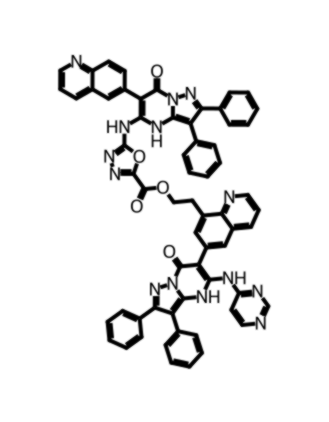 O=C(OCCc1cc(-c2c(Nc3ccncn3)[nH]c3c(-c4ccccc4)c(-c4ccccc4)nn3c2=O)cc2cccnc12)c1nnc(Nc2[nH]c3c(-c4ccccc4)c(-c4ccccc4)nn3c(=O)c2-c2ccc3ncccc3c2)o1